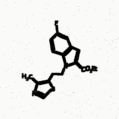 CCOC(=O)c1cc2cc(F)ccc2n1CCc1scnc1C